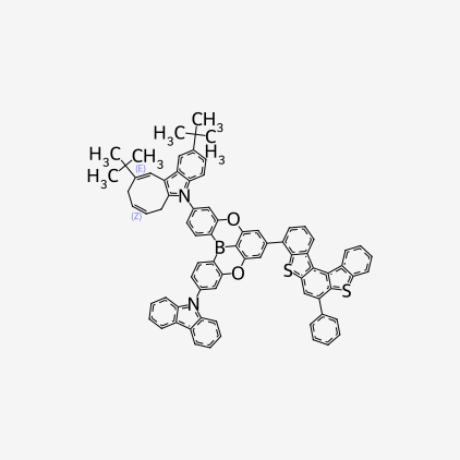 CC(C)(C)/C1=C/c2c(n(-c3ccc4c(c3)Oc3cc(-c5cccc6c5sc5cc(-c7ccccc7)c7sc8ccccc8c7c56)cc5c3B4c3ccc(-n4c6ccccc6c6ccccc64)cc3O5)c3ccc(C(C)(C)C)cc23)C/C=C\C1